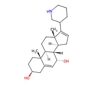 C[C@]12CC[C@H](O)CC1=C[C@@H](O)[C@@H]1[C@@H]2CC[C@]2(C)C(C3CCCNC3)=CC[C@@H]12